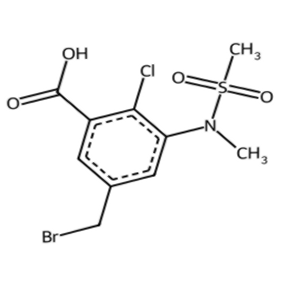 CN(c1cc(CBr)cc(C(=O)O)c1Cl)S(C)(=O)=O